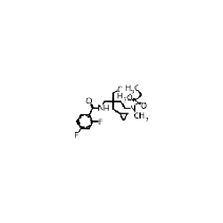 CCC(CCN(C)S(=O)(=O)CC)(CNC(=O)c1ccc(F)cc1F)CC1CC1